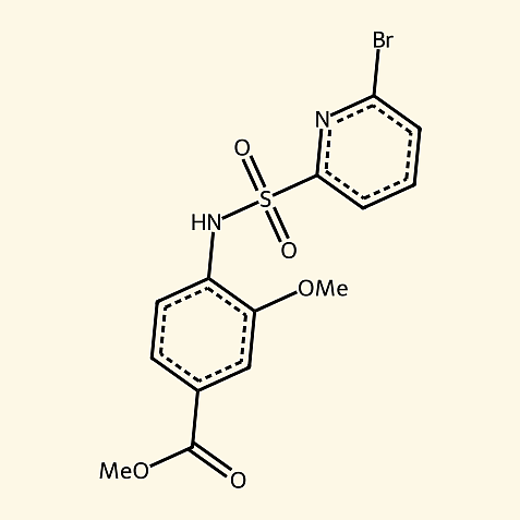 COC(=O)c1ccc(NS(=O)(=O)c2cccc(Br)n2)c(OC)c1